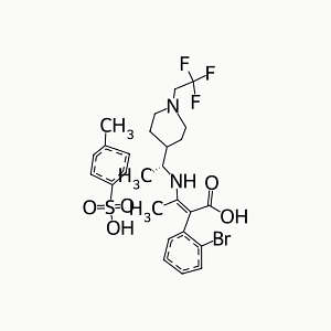 C/C(N[C@H](C)C1CCN(CC(F)(F)F)CC1)=C(/C(=O)O)c1ccccc1Br.Cc1ccc(S(=O)(=O)O)cc1